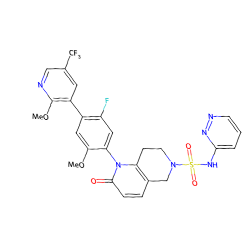 COc1cc(-c2cc(C(F)(F)F)cnc2OC)c(F)cc1-n1c2c(ccc1=O)CN(S(=O)(=O)Nc1cccnn1)CC2